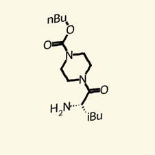 CCCCOC(=O)N1CCN(C(=O)[C@@H](N)[C@@H](C)CC)CC1